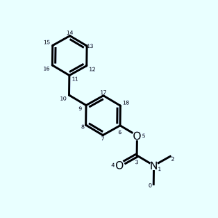 CN(C)C(=O)Oc1ccc(Cc2ccccc2)cc1